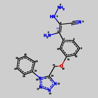 N#C/C(NN)=C(/N)c1cccc(OCc2nnnn2-c2ccccc2)c1